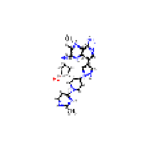 CCc1nc2c(N)ncc(-c3cnn(C4CCN(c5ccnc(C)n5)CC4)c3)c2nc1N[C@@H]1CC[C@H](O)C1